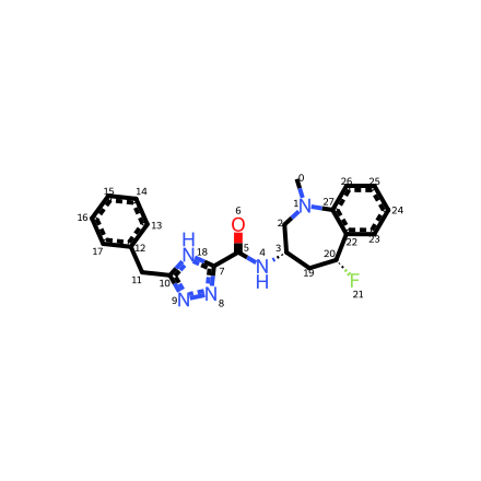 CN1C[C@@H](NC(=O)c2nnc(Cc3ccccc3)[nH]2)C[C@@H](F)c2ccccc21